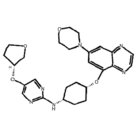 c1cnc2c(O[C@H]3CC[C@@H](Nc4ncc(O[C@@H]5CCOC5)cn4)CC3)cc(N3CCOCC3)cc2n1